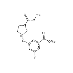 COC(=O)c1cc(F)cc(O[C@@H]2CCN(C(=O)OC(C)(C)C)C2)c1